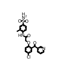 Cc1cc(S(N)(=O)=O)ccc1NC(=O)COc1ccc(Cl)cc1C(=O)c1cccnc1